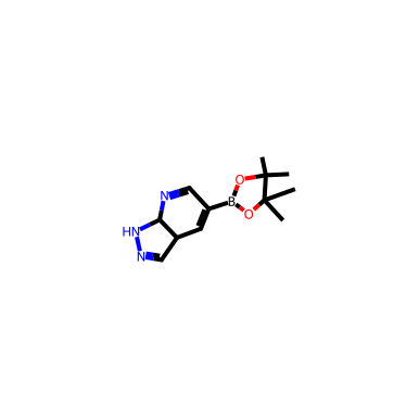 CC1(C)OB(C2=CC3C=NNC3N=C2)OC1(C)C